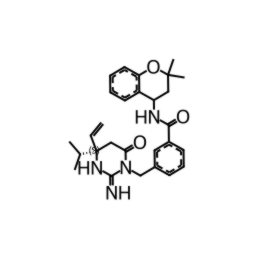 C=C[C@@]1(C(C)C)CC(=O)N(Cc2cccc(C(=O)NC3CC(C)(C)Oc4ccccc43)c2)C(=N)N1